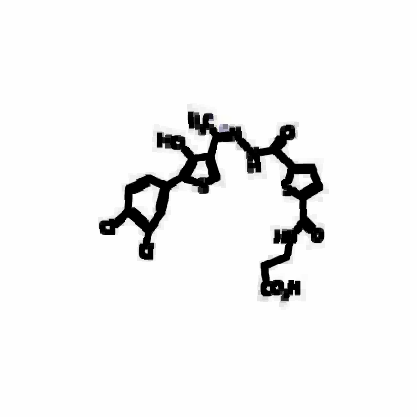 C/C(=N/NC(=O)c1ccc(C(=O)NCCC(=O)O)s1)c1csc(-c2ccc(Cl)c(Cl)c2)c1O